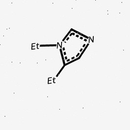 CCc1cncn1CC